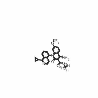 [2H]C([2H])([2H])OC(=O)c1c(N)c2ccc(OC(F)(F)F)cc2n(-c2cccc3c(C4CC4)nccc23)c1=O